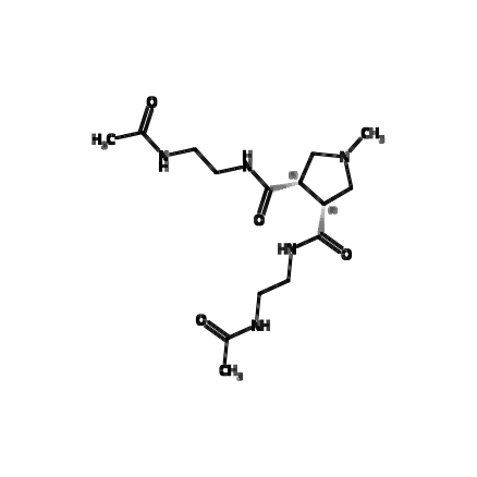 CC(=O)NCCNC(=O)[C@H]1CN(C)C[C@H]1C(=O)NCCNC(C)=O